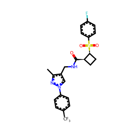 Cc1nn(-c2ccc(C(F)(F)F)cc2)cc1CNC(=O)[C@@H]1CC[C@@H]1S(=O)(=O)c1ccc(F)cc1